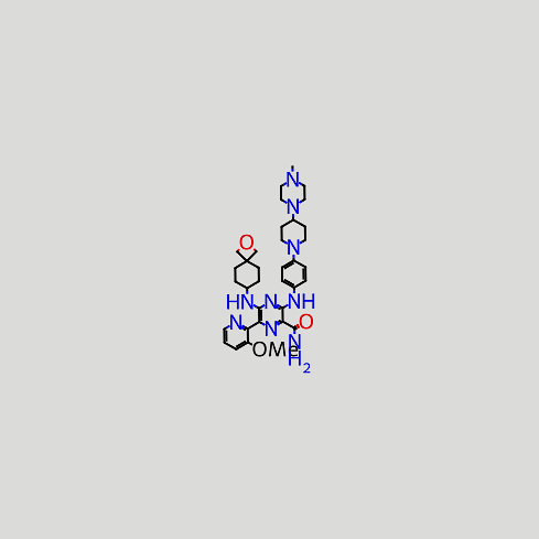 COc1cccnc1-c1nc(C(N)=O)c(Nc2ccc(N3CCC(N4CCN(C)CC4)CC3)cc2)nc1NC1CCC2(CC1)COC2